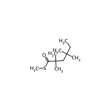 CCC(C)(C)CC(C)(C)C(=O)SC